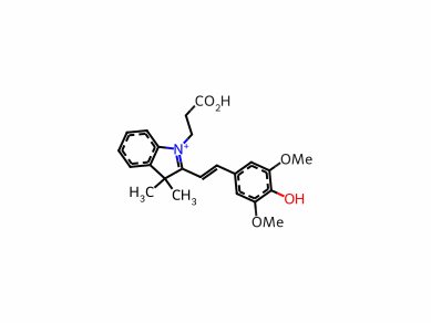 COc1cc(/C=C/C2=[N+](CCC(=O)O)c3ccccc3C2(C)C)cc(OC)c1O